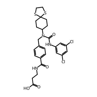 O=C(O)CCNC(=O)c1ccc(CN(C(=O)Nc2cc(Cl)cc(Cl)c2)C2CCC3(CC2)SCCS3)cc1